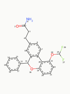 NC(=O)CCc1ccc2c(c1)C(c1ccccc1)Oc1cccc(OC(F)F)c1-2